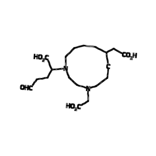 O=CCCC(C(=O)O)N1CCCCC(CC(=O)O)CCCN(CC(=O)O)CC1